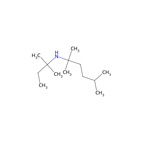 CCC(C)(C)NC(C)(C)CCC(C)C